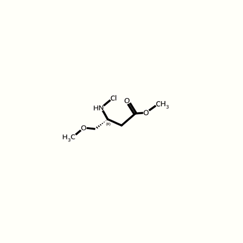 COC[C@@H](CC(=O)OC)NCl